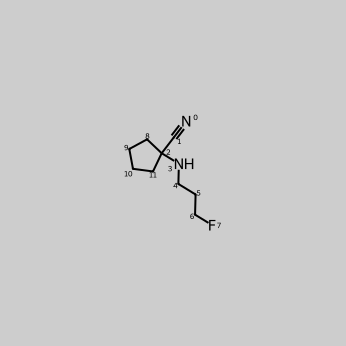 N#CC1(NCCCF)CCCC1